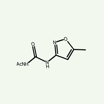 [CH2]C(=O)NC(=O)Nc1cc(C)on1